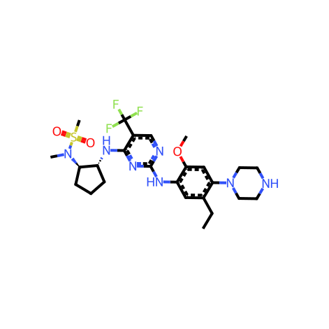 CCc1cc(Nc2ncc(C(F)(F)F)c(N[C@@H]3CCC[C@H]3N(C)S(C)(=O)=O)n2)c(OC)cc1N1CCNCC1